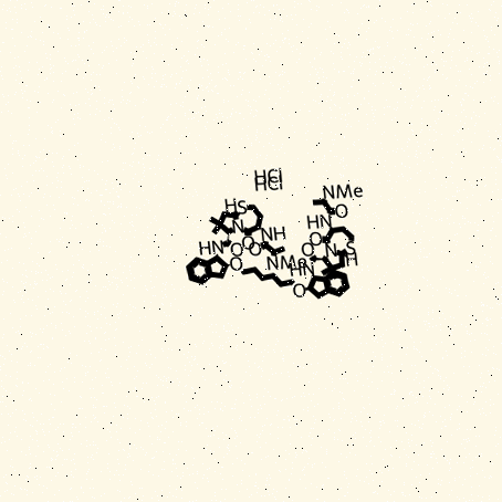 CNC(C)C(=O)N[C@H]1CCS[C@H]2CC(C)(C)[C@@H](C(=O)N[C@H]3c4ccccc4C[C@H]3OCCCCCCO[C@@H]3Cc4ccccc4[C@@H]3NC(=O)[C@H]3N4C(=O)[C@@H](NC(=O)C(C)NC)CCS[C@H]4CC3(C)C)N2C1=O.Cl.Cl